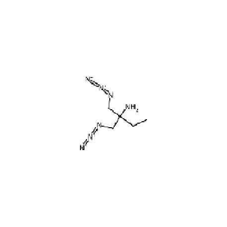 CCC(N)(CN=[N+]=[N-])CN=[N+]=[N-]